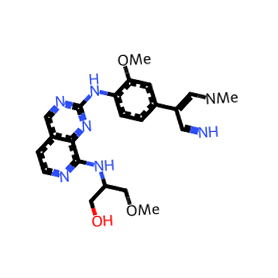 CN/C=C(\C=N)c1ccc(Nc2ncc3ccnc(NC(CO)COC)c3n2)c(OC)c1